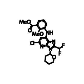 COC(=O)c1cccc(Nc2cc(Cl)nc3c2nc(C(F)F)n3C2CCCCO2)c1OC